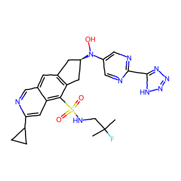 CC(C)(F)CNS(=O)(=O)c1c2c(cc3cnc(C4CC4)cc13)C[C@@H](N(O)c1cnc(-c3nnn[nH]3)nc1)C2